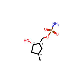 C[C@@H]1C[C@H](COS(N)(=O)=O)[C@@H](O)C1